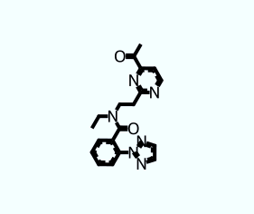 CCN(CCc1nccc(C(C)=O)n1)C(=O)c1ccccc1-n1nccn1